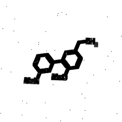 BCc1ccc(OC)c(-c2cccc(NC)c2)c1